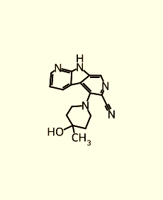 CC1(O)CCN(c2c(C#N)ncc3[nH]c4ncccc4c23)CC1